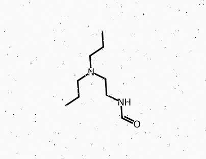 CCCN(CCC)CCN[C]=O